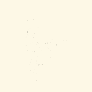 COc1cc(F)c([C@@H]2CN(c3c(C)ccn(C(F)F)c3=O)C(=O)[C@H]2NC(=O)c2ccc(OC(F)F)cc2)c(F)c1